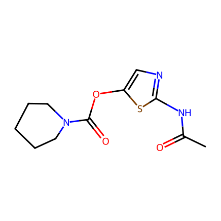 CC(=O)Nc1ncc(OC(=O)N2CCCCC2)s1